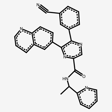 CC(NC(=O)c1cnc(-c2cccc(C#N)c2)c(-c2ccc3ncccc3c2)n1)c1ccccn1